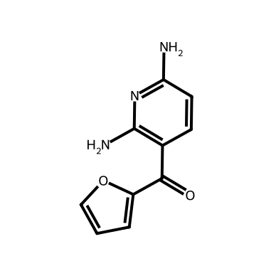 Nc1ccc(C(=O)c2ccco2)c(N)n1